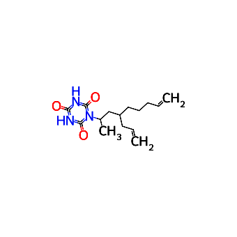 C=CCCCC(CC=C)CC(C)n1c(=O)[nH]c(=O)[nH]c1=O